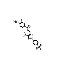 Cc1cc(C(=O)C=Cc2sc(-c3ccc(C(F)(F)F)cc3)nc2C(C)C)ccc1O